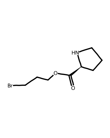 O=C(OCCCBr)[C@@H]1CCCN1